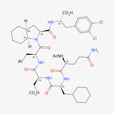 CC(=O)N[C@@H](CCC(N)=O)C(=O)N[C@@H](CC1CCCCC1)C(=O)N[C@@H](CC(=O)O)C(=O)N[C@@H](CC(C)C)C(=O)N1[C@H](C(=O)N[C@@H](Cc2ccc(Cl)c(Cl)c2)C(=O)O)C[C@@H]2CCCC[C@@H]21